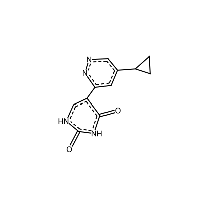 O=c1[nH]cc(-c2cc(C3CC3)cnn2)c(=O)[nH]1